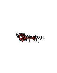 CC[C@H]1OC(=O)[C@H](C)[C@@H](O[C@H]2C[C@@](C)(OC)[C@@H](OS(=O)(=O)CCNCCCCc3ccc4c(=O)c(C(=O)O)cn(CC(F)(F)F)c4c3)[C@H](C)O2)[C@H](C)[C@@H](O[C@@H]2O[C@H](C)C[C@H](N(C)C)[C@H]2O)[C@](C)(OC)C[C@@H](C)C(=O)[C@H](C)[C@@H](O)[C@]1(C)O